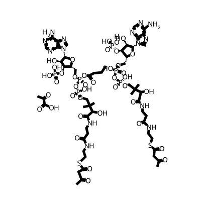 CC(=O)C(=O)O.CC(=O)CC(=O)SCCNC(=O)CCNC(=O)C(O)C(C)(C)COP(=O)(O)OP(=O)(O)OC[C@H]1O[C@@H](n2cnc3c(N)ncnc32)[C@H](O)[C@@H]1OP(=O)(O)O.CCCC(=O)OP(=O)(OC[C@H]1O[C@@H](n2cnc3c(N)ncnc32)[C@H](O)[C@@H]1OP(=O)(O)O)OP(=O)(O)OCC(C)(C)C(O)C(=O)NCCC(=O)NCCSC(=O)CC(C)=O